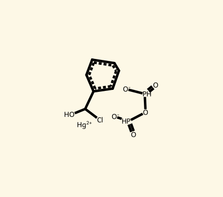 O=[PH]([O-])O[PH](=O)[O-].OC(Cl)c1ccccc1.[Hg+2]